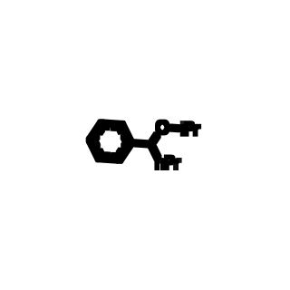 CCCC(OC(C)C)c1ccccc1